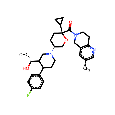 O=C[C@@H](O)C1CN([C@@H]2CC[C@@](C(=O)N3CCc4ncc(C(F)(F)F)cc4C3)(C3CC3)OC2)CCC1c1ccc(F)cc1